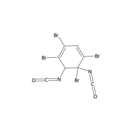 O=C=NC1C(Br)=C(Br)C=C(Br)C1(Br)N=C=O